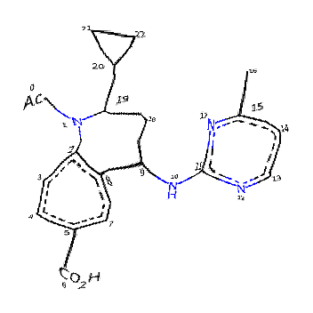 CC(=O)N1c2ccc(C(=O)O)cc2C(Nc2nccc(C)n2)CC1C1CC1